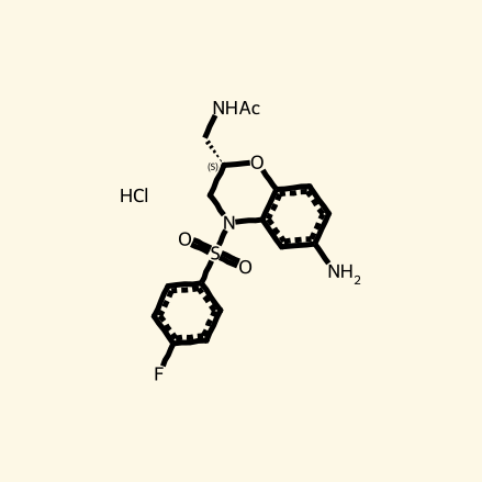 CC(=O)NC[C@H]1CN(S(=O)(=O)c2ccc(F)cc2)c2cc(N)ccc2O1.Cl